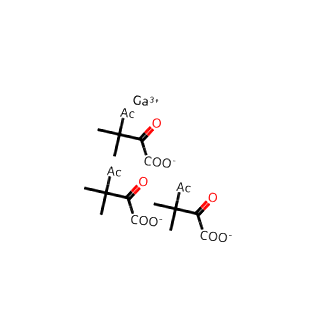 CC(=O)C(C)(C)C(=O)C(=O)[O-].CC(=O)C(C)(C)C(=O)C(=O)[O-].CC(=O)C(C)(C)C(=O)C(=O)[O-].[Ga+3]